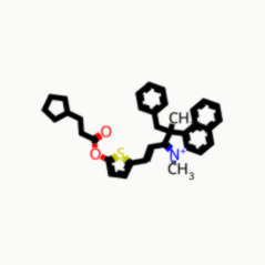 C[N+]1=C(/C=C/c2ccc(OC(=O)CCC3CCCC3)s2)C(C)(Cc2ccccc2)c2c1ccc1ccccc21